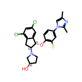 Cc1cn(-c2ccc(O[C@H]3c4cc(Cl)cc(Cl)c4C[C@@H]3N3CC[C@@H](O)C3)c(F)c2)c(C)n1